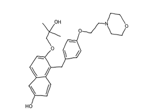 CC(C)(O)COc1ccc2cc(O)ccc2c1Cc1ccc(OCCN2CCOCC2)cc1